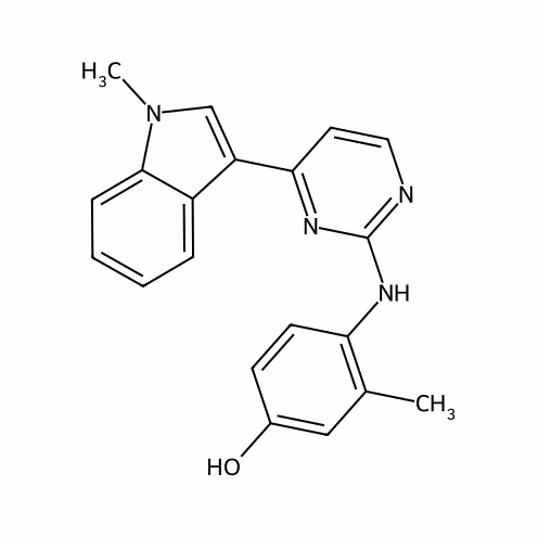 Cc1cc(O)ccc1Nc1nccc(-c2cn(C)c3ccccc23)n1